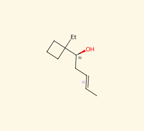 C/C=C/C[C@H](O)C1(CC)CCC1